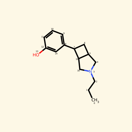 CCCN1CC2CC(c3cccc(O)c3)C2C1